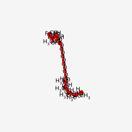 Cc1cc(F)cc(C)c1Oc1ccc(C(C)(C)O)cc1-c1cn(C)c(=O)c2[nH]c(C(=O)Nc3ccc(OCCOCCOCCOCCOCCOCCOCCOCCOCCNC(=O)c4cc(NC(=O)c5nc(NC(=O)c6cc(NC(=O)c7cc(NC(=O)c8nccn8C)cn7C)cn6C)cn5C)cn4C)cc3)cc12